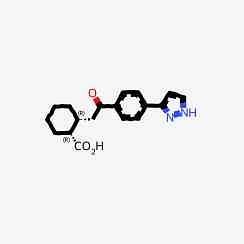 O=C(C[C@H]1CCCC[C@H]1C(=O)O)c1ccc(-c2cc[nH]n2)cc1